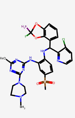 BN1CCN(c2nc(Nc3cc(S(C)(=O)=O)ccc3NC(c3cccc4c3OC(F)(P)O4)c3ncccc3Cl)nc(OC)n2)CC1